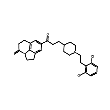 O=C(CCC1CCN(CCc2c(Cl)cccc2Cl)CC1)c1cc2c3c(c1)CCN3C(=O)CC2